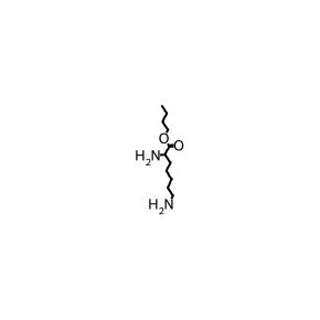 CCCCOC(=O)C(N)CCCCCN